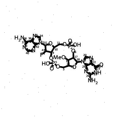 COC1C2COP(=O)(O)OC3C(COP(=O)(O)OC1C(n1cnc4c(=O)[nH]c(N)nc41)O2)OC(n1cnc2c(N)ncnc21)C3F